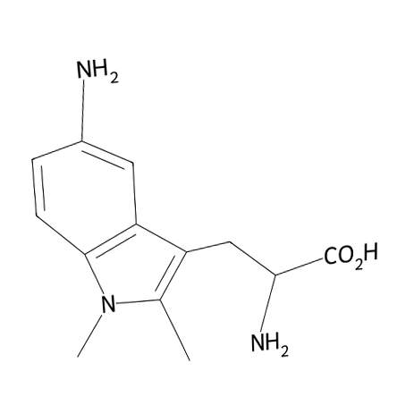 Cc1c(CC(N)C(=O)O)c2cc(N)ccc2n1C